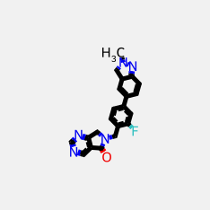 CN1CC2C=C(c3ccc(CN4Cc5ncncc5C4=O)c(F)c3)C=CC2=N1